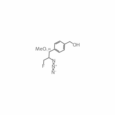 CO[C@H](c1ccc(CO)cc1)C(CF)N=[N+]=[N-]